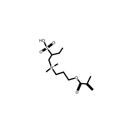 C=C(C)C(=O)OCCC[N+](C)(C)CC(CC)S(=O)(=O)O